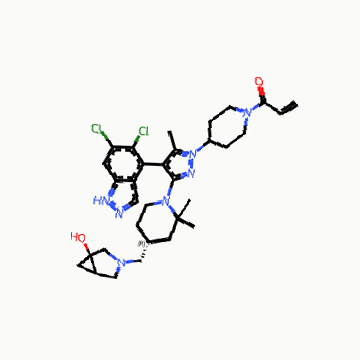 C=CC(=O)N1CCC(n2nc(N3CC[C@@H](CN4CC5CC5(O)C4)CC3(C)C)c(-c3c(Cl)c(Cl)cc4[nH]ncc34)c2C)CC1